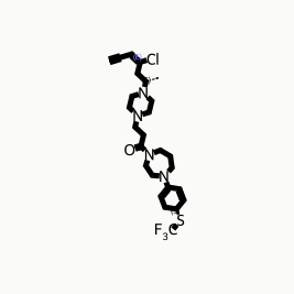 C#C/C=C(/Cl)C[C@H](C)N1CCN(CCC(=O)N2CCCN(C3=CC[C@H](SC(F)(F)F)C=C3)CC2)CC1